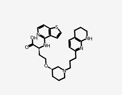 O=C(O)[C@H](CCO[C@@H]1CCCN(CCCc2ccc3c(n2)NCCC3)C1)Nc1nccc2sccc12